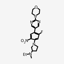 CCN(C)C1CCN(c2cc(F)c(-c3cnc(N4CCOCC4)nc3)cc2[N+](=O)[O-])C1